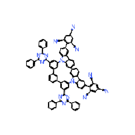 N#Cc1cc(C#N)c(-c2ccc3c(c2)c2ccccc2n3-c2cc(-c3cccc(-c4cc(-c5nc(-c6ccccc6)nc(-c6ccccc6)n5)cc(-n5c6ccccc6c6cc(-c7c(C#N)cc(C#N)cc7C#N)ccc65)c4)c3)cc(-c3nc(-c4ccccc4)nc(-c4ccccc4)n3)c2)c(C#N)c1